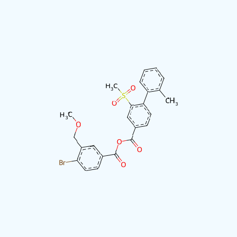 COCc1cc(C(=O)OC(=O)c2ccc(-c3ccccc3C)c(S(C)(=O)=O)c2)ccc1Br